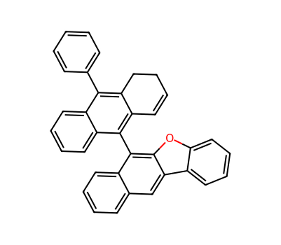 C1=Cc2c(c(-c3ccccc3)c3ccccc3c2-c2c3ccccc3cc3c2oc2ccccc23)CC1